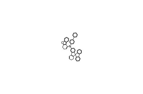 C1=CC2=C(CC1)C1(c3ccc(N(C4=CCCc5oc6ccccc6c54)c4ccc(-c5ccccc5)cc4)cc32)c2ccccc2-c2ccccc21